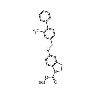 CC(C)(C)OC(=O)N1CCc2cc(OCc3ccc(-c4ccccc4)c(C(F)(F)F)c3)ccc21